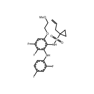 C=CCC1(S(=O)(=O)Nc2c(OCCOC)cc(F)c(F)c2Nc2ccc(I)cc2F)CC1